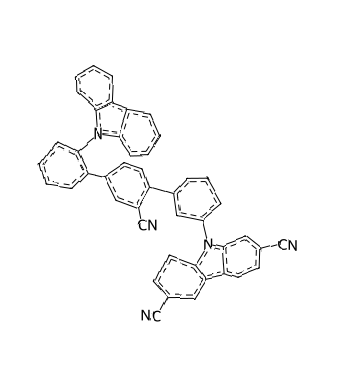 N#Cc1ccc2c(c1)c1ccc(C#N)cc1n2-c1cccc(-c2ccc(-c3ccccc3-n3c4ccccc4c4ccccc43)cc2C#N)c1